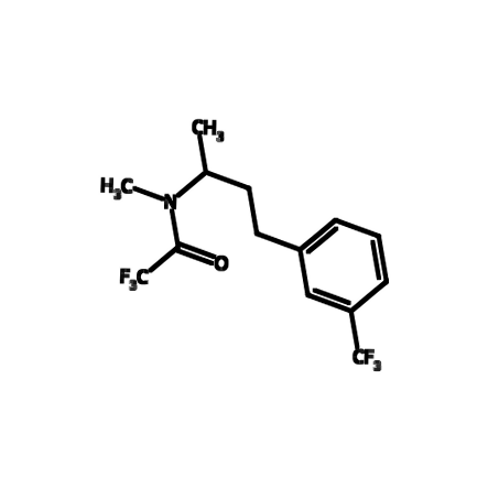 CC(CCc1cccc(C(F)(F)F)c1)N(C)C(=O)C(F)(F)F